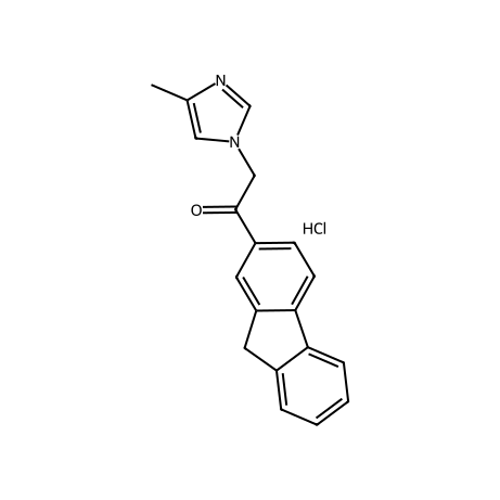 Cc1cn(CC(=O)c2ccc3c(c2)Cc2ccccc2-3)cn1.Cl